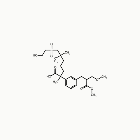 COCC(Cc1cccc(C(C)(CCCC(C)(C)CS(=O)(=O)CCO)C(=O)O)c1)C(=O)OC